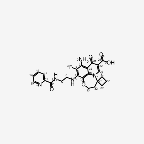 Nc1c(F)c(NCCNC(=O)c2ccccn2)c2c3c1c(=O)c(C(=O)O)cn3C1(CCC1)CCO2